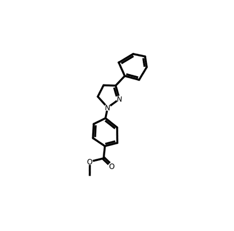 COC(=O)c1ccc(N2CCC(c3ccccc3)=N2)cc1